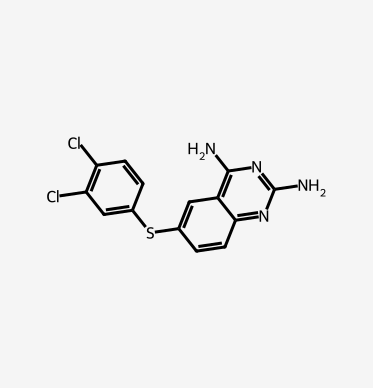 Nc1nc(N)c2cc(Sc3ccc(Cl)c(Cl)c3)ccc2n1